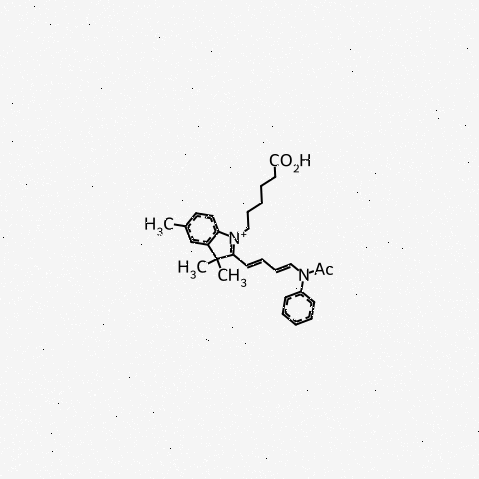 CC(=O)N(/C=C/C=C/C1=[N+](CCCCCC(=O)O)c2ccc(C)cc2C1(C)C)c1ccccc1